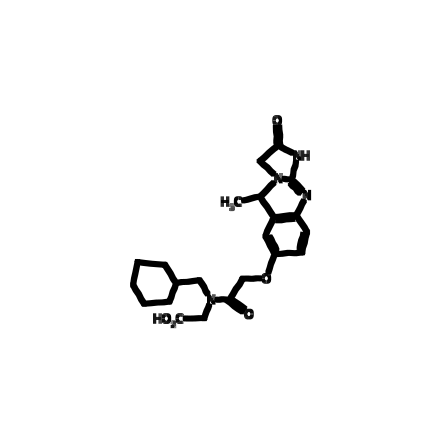 CC1c2cc(OCC(=O)N(CC(=O)O)CC3CCCCC3)ccc2N=C2NC(=O)CN21